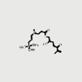 C=C(C)C(=O)CCC(O)COC(=O)CCN(C)CCC[Si](OC)(OC)OC